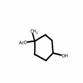 CC(=O)OC1(C)CCC(O)CC1